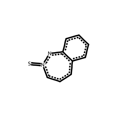 S=[n+]1cccc2ccccc2n1